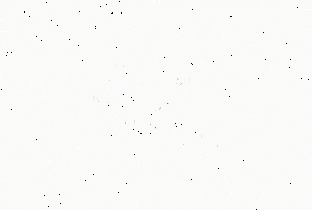 C=C(/C(F)=C(\C(C)=C(/C)NCCC)c1cc(NC(=N)C(/C=C\C)=C/CC(F)(F)F)ccc1C)N1CCC1